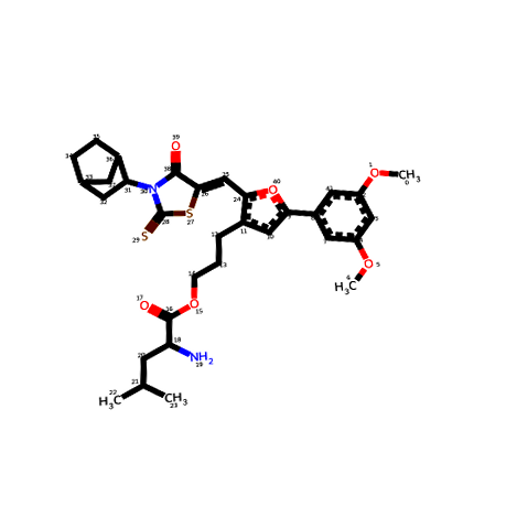 COc1cc(OC)cc(-c2cc(CCCOC(=O)C(N)CC(C)C)c(C=C3SC(=S)N(C4CC5CCC4C5)C3=O)o2)c1